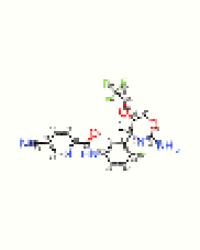 C[C@]1(c2cc(NC(=O)c3ccc(C#N)cn3)ccc2F)N=C(N)OC[C@@H]1OCC(F)(F)F